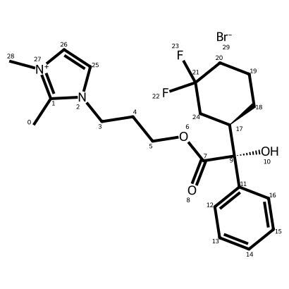 Cc1n(CCCOC(=O)[C@](O)(c2ccccc2)[C@@H]2CCCC(F)(F)C2)cc[n+]1C.[Br-]